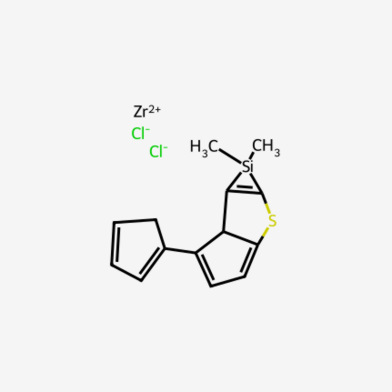 C[Si]1(C)C2=C1C1C(=CC=C1C1=CC=CC1)S2.[Cl-].[Cl-].[Zr+2]